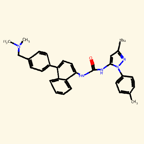 Cc1ccc(-n2nc(C(C)(C)C)cc2NC(=O)Nc2ccc(-c3ccc(CN(C)C)cc3)c3ccccc23)cc1